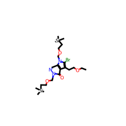 CCOCCc1c(Br)n(COCC[Si](C)(C)C)c2cnn(COCC[Si](C)(C)C)c(=O)c12